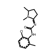 Cc1cccc(Cl)c1NC(=O)/N=C1/CCC(C)N1C